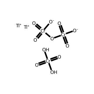 [O]=[Cr](=[O])([O-])[O][Cr](=[O])(=[O])[O-].[O]=[Cr](=[O])([OH])[OH].[Tl+].[Tl+]